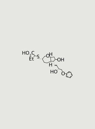 CCC(SC[C@H]1CC[C@@H]2[C@@H](C=C[C@@H](O)COc3ccccc3)[C@H](O)C[C@@H]2OC1)C(=O)O